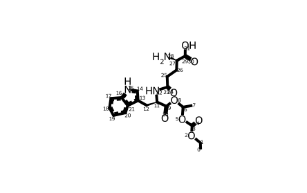 CCOC(=O)OC(C)OC(=O)[C@@H](Cc1c[nH]c2ccccc12)NC(=O)CC[C@@H](N)C(=O)O